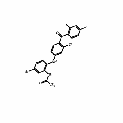 Cc1cc(F)ccc1C(=O)c1ccc(Nc2ccc(Br)cc2NC(=O)C(F)(F)F)cc1Cl